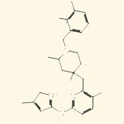 CC1=CC(Nc2ccc(F)c(CC3(C(=O)O)CCN(Cc4cccc(Cl)c4F)C(C)C3)n2)=NC1